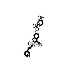 N#Cc1c(NC(=O)/C=C/c2cccnc2)sc2c1CC[C@@H](COC(=O)N1CCC[C@H](O)C1)C2